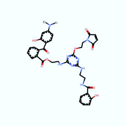 CCN(CC)c1ccc(C(=O)c2ccccc2C(=O)OCCNc2nc(NCCNC(=O)c3ccccc3O)nc(OCCN3C(=O)C=CC3=O)n2)c(O)c1